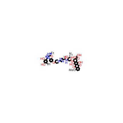 CCNC(=O)c1nnc(-c2cc(C(C)C)c(O)cc2O)n1-c1ccc(OC2CCN(c3cnc(C(=O)NC4CC(OC5C[C@](O)(C(=O)CO)Cc6c(O)c7c(c(O)c65)C(=O)c5c(OC)cccc5C7=O)OC(C)C4O)cn3)CC2)cc1